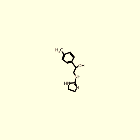 Cc1ccc(C(O)CNC2=NCCN2)cc1